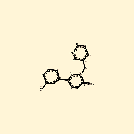 O=c1ccc(-c2cccc(Cl)c2)nn1Cc1cccnc1